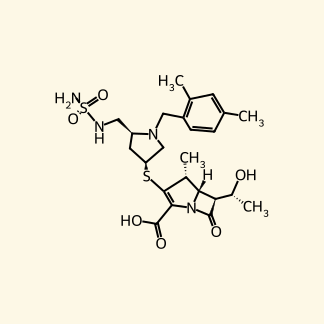 Cc1ccc(CN2C[C@@H](SC3=C(C(=O)O)N4C(=O)[C@H]([C@@H](C)O)[C@H]4[C@H]3C)C[C@H]2CNS(N)(=O)=O)c(C)c1